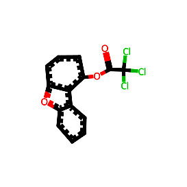 O=C(Oc1cccc2oc3ccccc3c12)C(Cl)(Cl)Cl